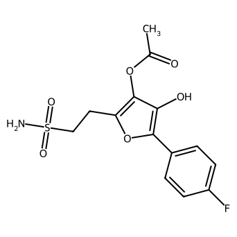 CC(=O)Oc1c(CCS(N)(=O)=O)oc(-c2ccc(F)cc2)c1O